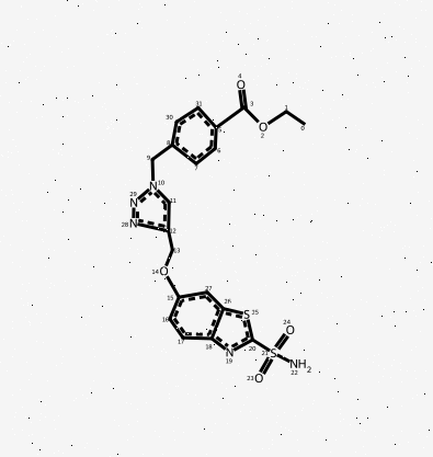 CCOC(=O)c1ccc(Cn2cc(COc3ccc4nc(S(N)(=O)=O)sc4c3)nn2)cc1